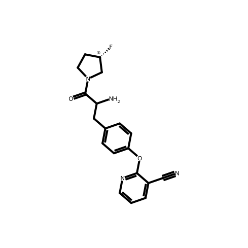 N#Cc1cccnc1Oc1ccc(CC(N)C(=O)N2CC[C@H](F)C2)cc1